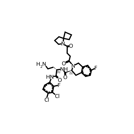 NCC[C@H](NC(=O)[C@@H]1Cc2ccc(F)cc2CN1C(=O)CCC(=O)N1CCCC12CCC2)C(=O)Nc1ccc(Cl)c(Cl)c1F